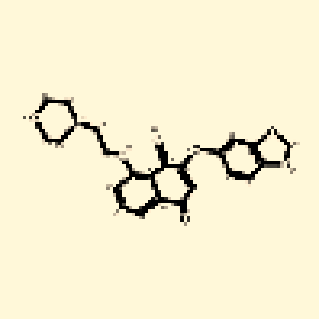 O=C1C=C(Oc2ccc3c(c2)OCO3)C(=O)c2c(OCCN3CCOCC3)cccc21